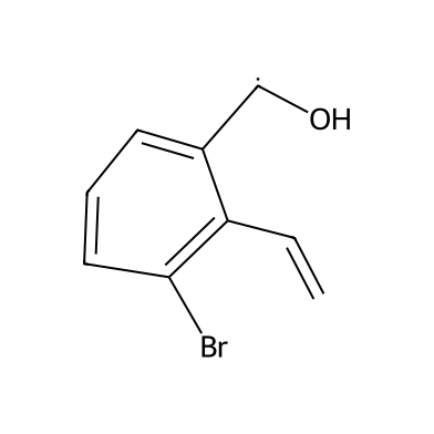 C=Cc1c(Br)cccc1[CH]O